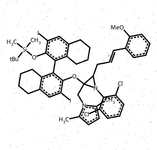 COc1ccccc1/C=C/CC1N(c2c(Cl)cccc2Cl)C1(Cn1c(C)ccc1C)Oc1c(I)cc2c(c1-c1c3c(cc(I)c1O[Si](C)(C)C(C)(C)C)CCCC3)CCCC2